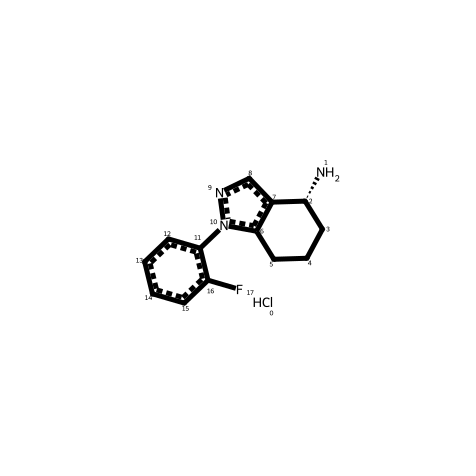 Cl.N[C@@H]1CCCc2c1cnn2-c1ccccc1F